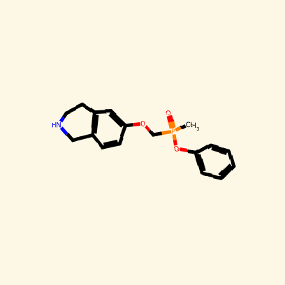 CP(=O)(COc1ccc2c(c1)CCNC2)Oc1ccccc1